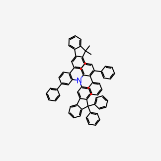 CC1(C)c2ccccc2-c2cc(-c3ccc(-c4ccccc4)cc3N(c3ccc4c(c3)-c3ccccc3C4(c3ccccc3)c3ccccc3)c3cccc(-c4ccccc4)c3-c3ccccc3)ccc21